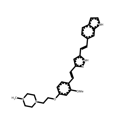 COc1cc(OCCN2CCN(C)CC2)ccc1/C=C/c1cc(/C=C/c2ccc3cc[nH]c3c2)[nH]n1